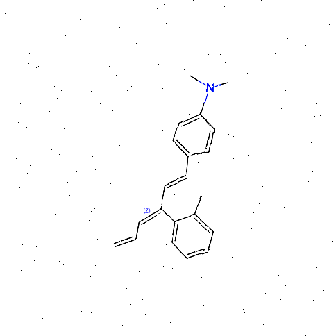 C=C/C=C(/C=Cc1ccc(N(C)C)cc1)c1ccccc1C